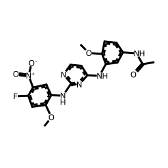 COc1ccc(NC(C)=O)cc1Nc1ccnc(Nc2cc([N+](=O)[O-])c(F)cc2OC)n1